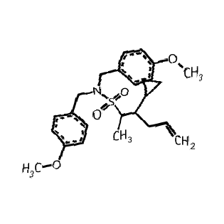 C=CCC(C1CC1)C(C)S(=O)(=O)N(Cc1ccc(OC)cc1)Cc1ccc(OC)cc1